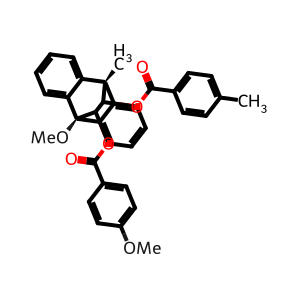 COc1ccc(C(=O)OC2C(OC(=O)c3ccc(C)cc3)[C@]3(C)c4ccccc4[C@@]2(OC)c2ccccc23)cc1